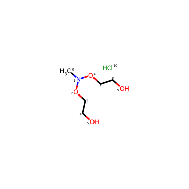 CN(OCCO)OCCO.Cl